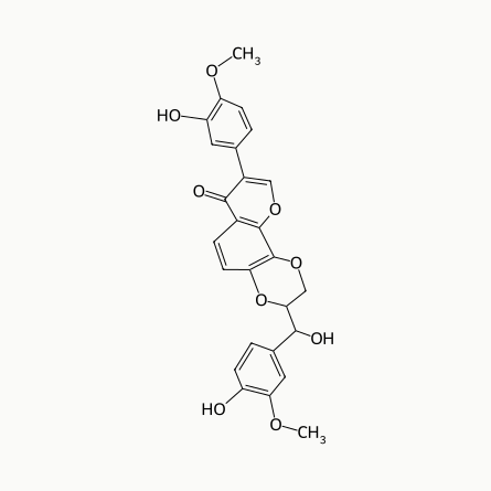 COc1ccc(-c2coc3c4c(ccc3c2=O)OC(C(O)c2ccc(O)c(OC)c2)CO4)cc1O